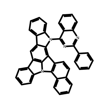 c1ccc(-c2nc(-n3c4ccccc4c4cc5c6ccccc6n6c7c8ccccc8ccc7c(c43)c56)c3ccccc3n2)cc1